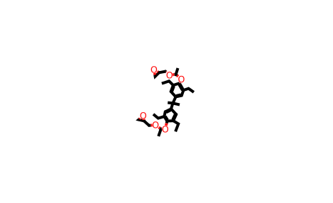 CCc1cc(C(C)(C)c2cc(CC)c(OC(C)OCC3CO3)c(CC)c2)cc(CC)c1OC(C)OCC1CO1